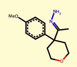 COc1ccc(C2(C(C)=NN)CCOCC2)cc1